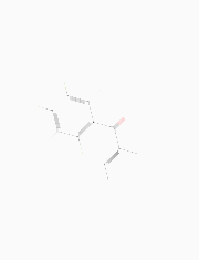 CCC=C(C(=O)OCC)C(=O)c1c(F)c(F)c(F)c(F)c1F